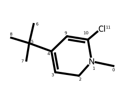 CN1CC=C(C(C)(C)C)C=C1Cl